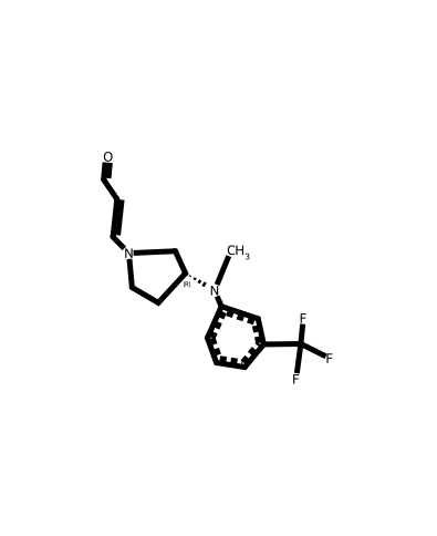 CN(c1cccc(C(F)(F)F)c1)[C@@H]1CCN(C=CC=O)C1